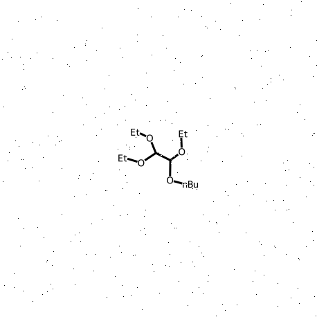 CCCCOC(OCC)[C](OCC)OCC